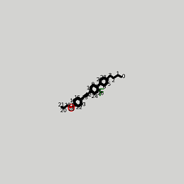 CCCCc1ccc(-c2ccc(C#Cc3ccc(OCCC)cc3)cc2F)cc1